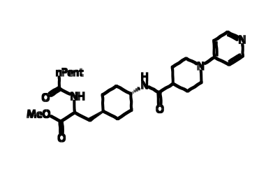 CCCCCC(=O)NC(C[C@H]1CC[C@H](NC(=O)C2CCN(c3ccncc3)CC2)CC1)C(=O)OC